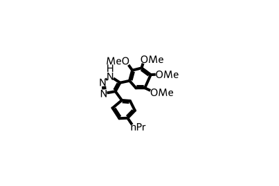 CCCc1ccc(-c2nn[nH]c2-c2cc(OC)c(OC)c(OC)c2OC)cc1